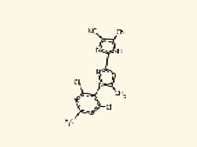 Cc1cc(-c2nc(C#N)c(C#N)[nH]2)nn1-c1c(Cl)cc(C(F)(F)F)cc1Cl